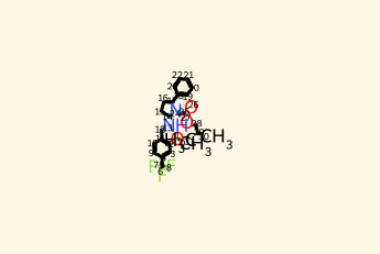 COc1cc(C(F)(F)F)ccc1CNC1CCC(c2ccccc2)N1C(=O)OCC(C)C